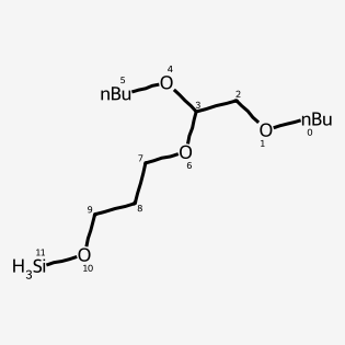 CCCCOCC(OCCCC)OCCCO[SiH3]